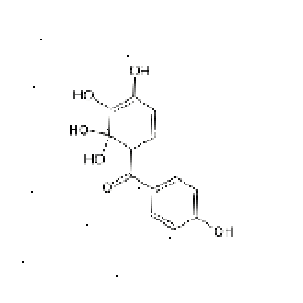 O=C(c1ccc(O)cc1)C1C=CC(O)=C(O)C1(O)O